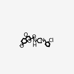 COc1ccc2c(=O)cc(C(=O)NC3CCN(Cc4ccccc4Cl)CC3)oc2c1